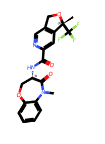 CN1C(=O)[C@@H](NC(=O)c2cc3c(cn2)CO[C@]3(C)C(F)(F)F)COc2ccccc21